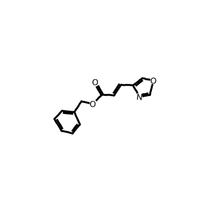 O=C(/C=C/c1cocn1)OCc1ccccc1